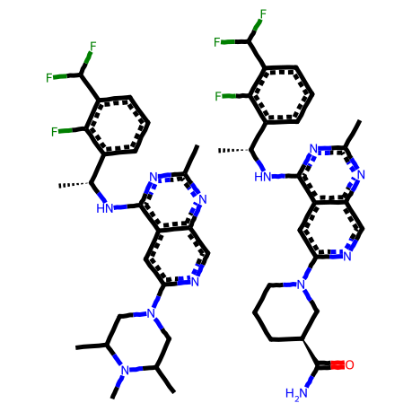 Cc1nc(N[C@H](C)c2cccc(C(F)F)c2F)c2cc(N3CC(C)N(C)C(C)C3)ncc2n1.Cc1nc(N[C@H](C)c2cccc(C(F)F)c2F)c2cc(N3CCC[C@H](C(N)=O)C3)ncc2n1